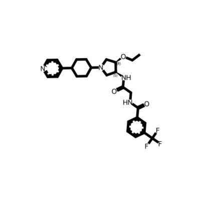 CCO[C@@H]1CN(C2CCC(c3ccncc3)CC2)C[C@@H]1NC(=O)CNC(=O)c1cccc(C(F)(F)F)c1